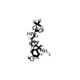 COc1ccc(C(C)(N)c2nnn(CCNC(=O)OC(C)(C)C)n2)cc1